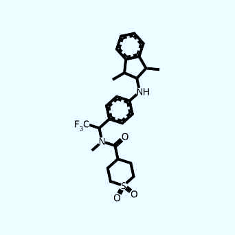 CC1c2ccccc2C(C)C1Nc1ccc(C(N(C)C(=O)C2CCS(=O)(=O)CC2)C(F)(F)F)cc1